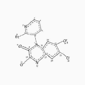 CCc1ncccc1-n1c(=O)c(Cl)nc2cc(Cl)c(C(F)(F)F)cc21